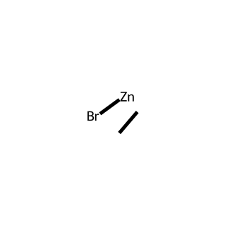 CC.[Zn][Br]